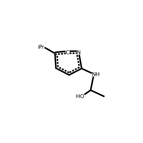 CC(O)Nc1ccc(C(C)C)cn1